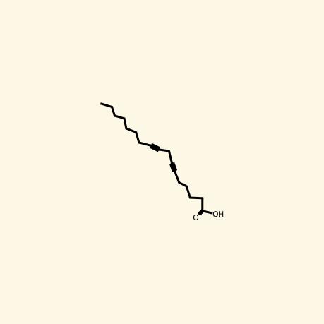 CCCCCCCC#CCC#CCCCCC(=O)O